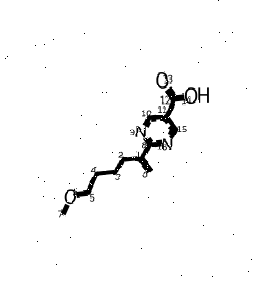 C=C(CCCCOC)c1ncc(C(=O)O)cn1